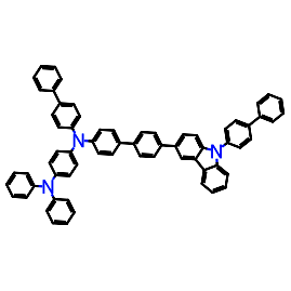 c1ccc(-c2ccc(N(c3ccc(-c4ccc(-c5ccc6c(c5)c5ccccc5n6-c5ccc(-c6ccccc6)cc5)cc4)cc3)c3ccc(N(c4ccccc4)c4ccccc4)cc3)cc2)cc1